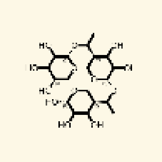 CC(O[C@@H]1OC[C@@H](O)C(O)C1O)[C@@H]1CO[C@@H](OC(C)[C@@H]2CO[C@@H](O)C(O)C2O)C(O)C1O